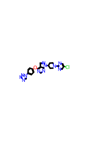 Clc1cnc(N2CCC(n3ncc4c(Oc5ccc(-n6cnnn6)cc5)ncnc43)CC2)nc1